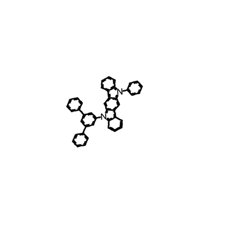 C1=C=Cc2c(c3cc4c(cc3n2-c2cc(-c3ccccc3)cc(-c3ccccc3)c2)c2ccccc2n4-c2ccccc2)C=1